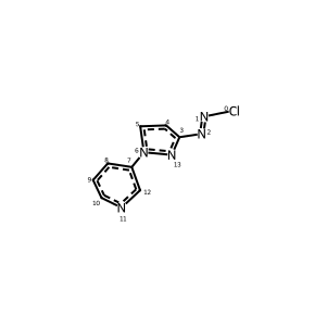 Cl/N=N/c1ccn(-c2cccnc2)n1